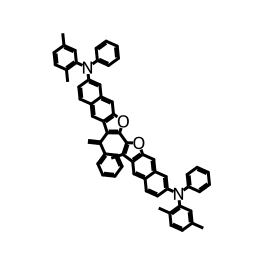 C=C(c1ccccc1)c1c(-c2oc3cc4cc(N(c5ccccc5)c5cc(C)ccc5C)ccc4cc3c2C)oc2cc3cc(N(c4ccccc4)c4cc(C)ccc4C)ccc3cc12